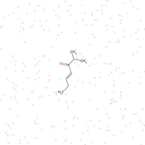 CC/C=C/C(=O)C(C)C